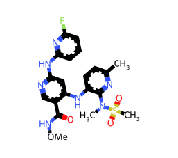 CONC(=O)c1cnc(Nc2cccc(F)n2)cc1Nc1ccc(C)nc1N(C)S(C)(=O)=O